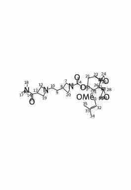 CO[C@@H]1[C@H](OC(=O)N2CC(CCN3CC(C(=O)N(C)C)C3)C2)CC[C@]2(CO2)[C@H]1[C@@]1(C)O[C@@H]1CC=C(C)C